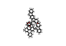 c1ccc(-c2cncc(-c3ccccc3)c2-c2ccc(-n3c4ccccc4c4ccccc43)c3oc4c(-n5c6ccccc6c6cc7c(cc65)sc5ccccc57)cccc4c23)cc1